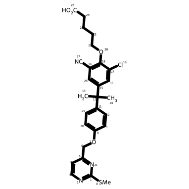 CSc1nccc(COc2ccc(C(C)(C)c3cc(Cl)c(OCCCCC(=O)O)c(C#N)c3)cc2)n1